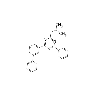 CC(C)Cc1nc(-c2ccccc2)nc(-c2cccc(-c3ccccc3)c2)n1